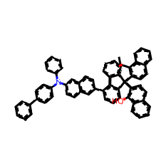 CCc1c(C2(c3ccc4ccccc4c3O)c3ccccc3-c3c(-c4ccc5cc(N(c6ccccc6)c6ccc(-c7ccccc7)cc6)ccc5c4)cccc32)ccc2ccccc12